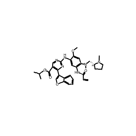 C=CC(=O)Nc1cc(Nc2ncc(C(=O)OC(C)C)c(-c3coc4ccccc34)n2)c(OC)cc1N(C)C[C@H]1CCCN1C